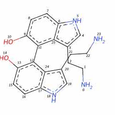 NCCc1c[nH]c2ccc(O)c(-c3c(O)ccc4[nH]cc(CCN)c34)c12